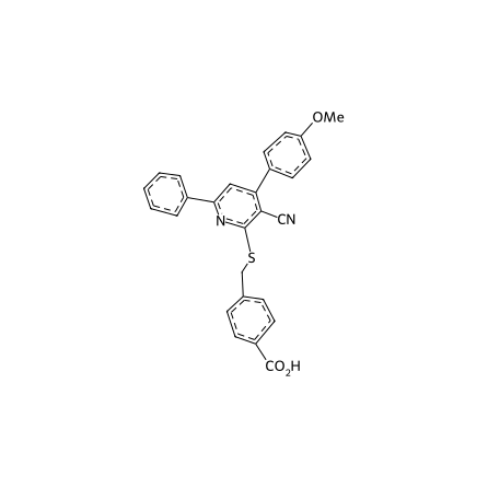 COc1ccc(-c2cc(-c3ccccc3)nc(SCc3ccc(C(=O)O)cc3)c2C#N)cc1